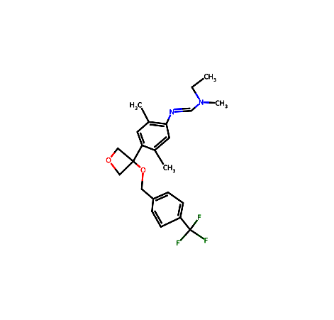 CCN(C)C=Nc1cc(C)c(C2(OCc3ccc(C(F)(F)F)cc3)COC2)cc1C